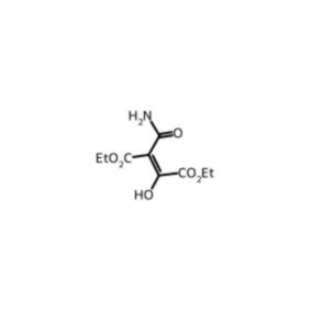 CCOC(=O)C(O)=C(C(N)=O)C(=O)OCC